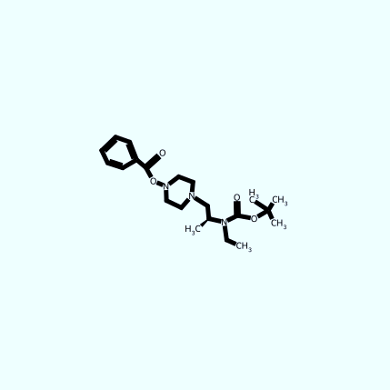 CCN(C(=O)OC(C)(C)C)[C@@H](C)CN1CCN(OC(=O)c2ccccc2)CC1